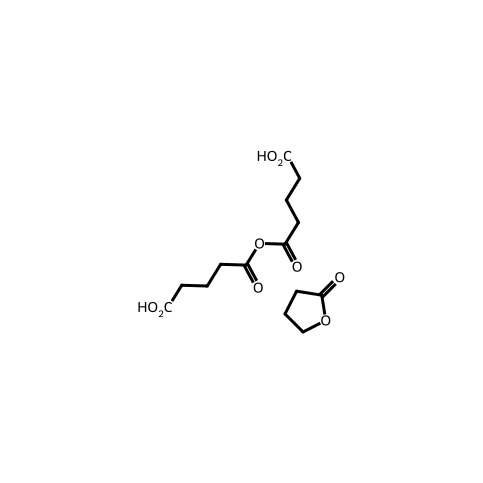 O=C(O)CCCC(=O)OC(=O)CCCC(=O)O.O=C1CCCO1